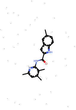 Cc1ccc2[nH]c(C(=O)Nc3nc(C)cc(C)c3C)cc2c1